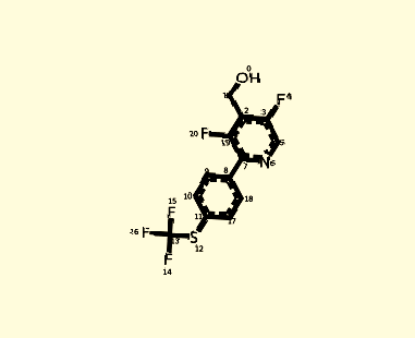 OCc1c(F)cnc(-c2ccc(SC(F)(F)F)cc2)c1F